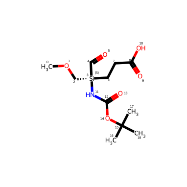 COC[Si@](C=O)(CCC(=O)O)NC(=O)OC(C)(C)C